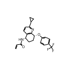 C=CC(=O)N[C@H]1CC[C@@H](Oc2ccc(C(F)(F)F)cc2)c2nc(C3CC3)ccc21